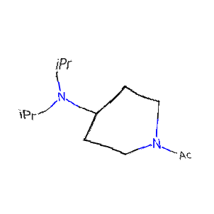 CC(=O)N1CCC(N(C(C)C)C(C)C)CC1